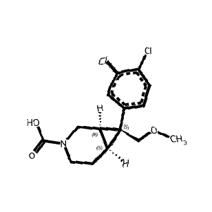 COC[C@]1(c2ccc(Cl)c(Cl)c2)[C@@H]2CN(C(=O)O)CC[C@@H]21